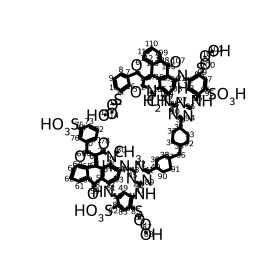 Cn1c(=O)c(C(=O)c2cccc(SOOO)c2)c2c3c(c(Nc4cc(Nc5nc(N)nc(C6CCC(CC7CCC(c8nc(N)nc(Nc9cc(Nc%10ccc%11c%12c%10C(=O)c%10ccccc%10-c%12c(C(=O)c%10cccc(S(=O)(=O)O)c%10)c(=O)n%11C)c(S(=O)(=O)O)cc9SOOO)n8)CC7)CC6)n5)c(S(=O)(=O)O)cc4SOOO)ccc31)C(=O)c1ccccc1-2